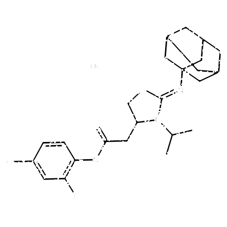 CC(C)N1C(=NC23CC4CC(CC(C4)C2)C3)SCC1CC(=O)Nc1ccc(Cl)cc1F.Cl